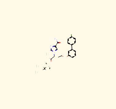 C[C@H](O[Si](C)(C)C(C)(C)C)[C@@H](CCOc1cccc(-c2ccc(Cl)cc2)c1)n1cnc(C(N)=O)c1